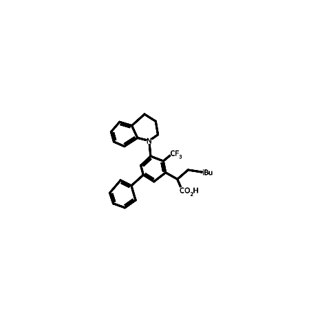 CCC(C)CC(C(=O)O)c1cc(-c2ccccc2)cc(N2CCCc3ccccc32)c1C(F)(F)F